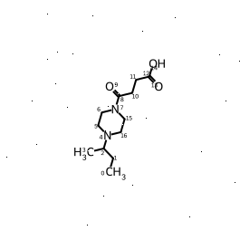 CCC(C)N1CCN(C(=O)CCC(=O)O)CC1